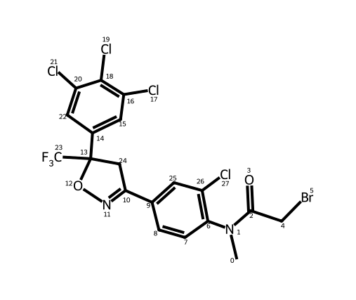 CN(C(=O)CBr)c1ccc(C2=NOC(c3cc(Cl)c(Cl)c(Cl)c3)(C(F)(F)F)C2)cc1Cl